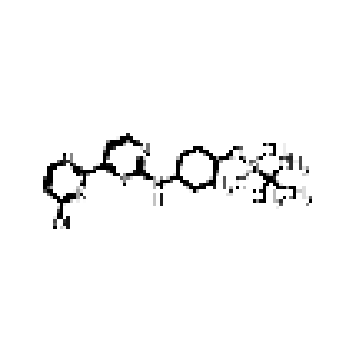 CC(C)(C)[Si](C)(C)OC1CCC(Nc2nccc(-c3nccc(O)n3)n2)CC1